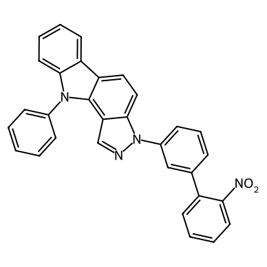 O=[N+]([O-])c1ccccc1-c1cccc(-n2ncc3c2ccc2c4ccccc4n(-c4ccccc4)c23)c1